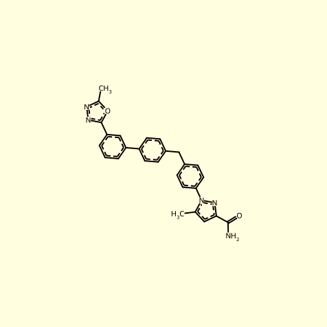 Cc1nnc(-c2cccc(-c3ccc(Cc4ccc(-n5nc(C(N)=O)cc5C)cc4)cc3)c2)o1